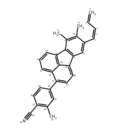 C=C/C=C\c1cc2c(c(C)c1C)-c1cccc3c(-c4ccc(C#N)c(C)c4)ccc-2c13